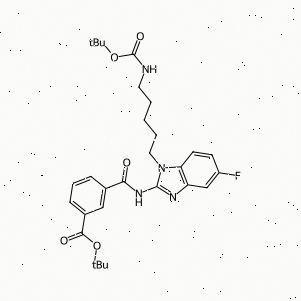 CC(C)(C)OC(=O)NCCCCCn1c(NC(=O)c2cccc(C(=O)OC(C)(C)C)c2)nc2cc(F)ccc21